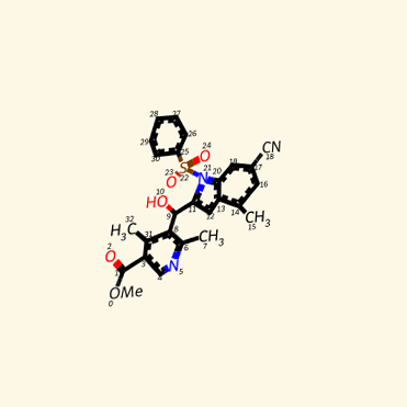 COC(=O)c1cnc(C)c(C(O)c2cc3c(C)cc(C#N)cc3n2S(=O)(=O)c2ccccc2)c1C